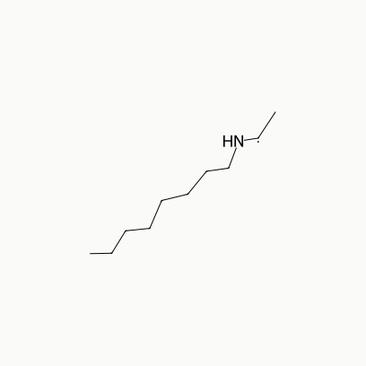 C[CH]NCCCCCCCC